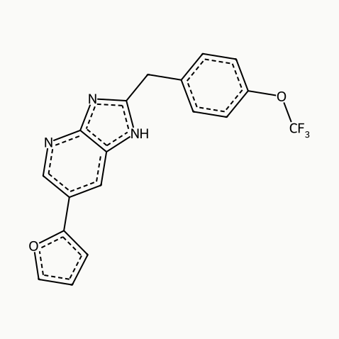 FC(F)(F)Oc1ccc(Cc2nc3ncc(-c4ccco4)cc3[nH]2)cc1